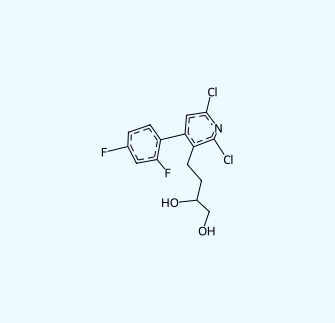 OCC(O)CCc1c(-c2ccc(F)cc2F)cc(Cl)nc1Cl